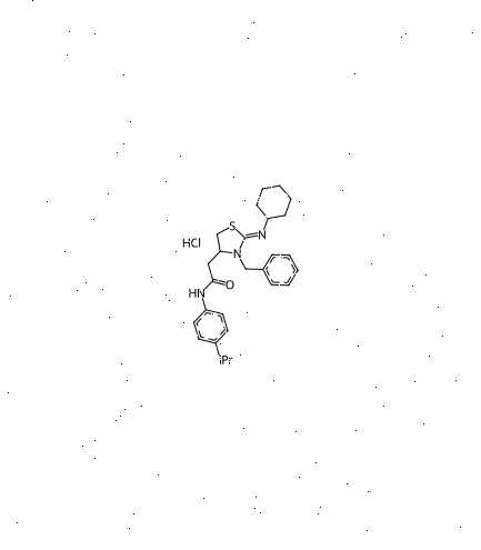 CC(C)c1ccc(NC(=O)CC2CS/C(=N\C3CCCCC3)N2Cc2ccccc2)cc1.Cl